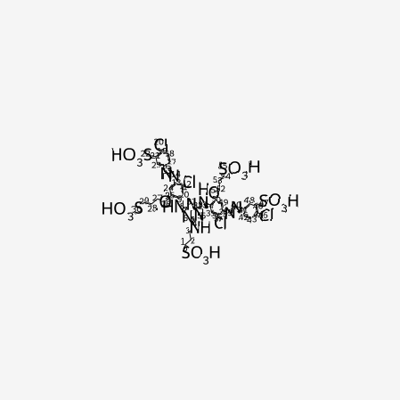 O=S(=O)(O)CCCNc1nc(Nc2cc(Cl)c(N=Nc3ccc(Cl)c(S(=O)(=O)O)c3)cc2OCCCS(=O)(=O)O)nc(Nc2cc(Cl)c(N=Nc3ccc(Cl)c(S(=O)(=O)O)c3)cc2OCCCS(=O)(=O)O)n1